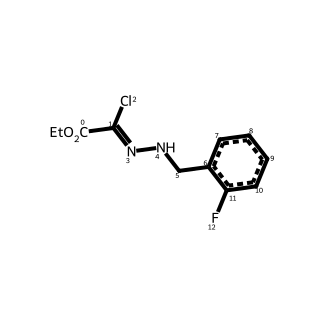 CCOC(=O)C(Cl)=NNCc1ccccc1F